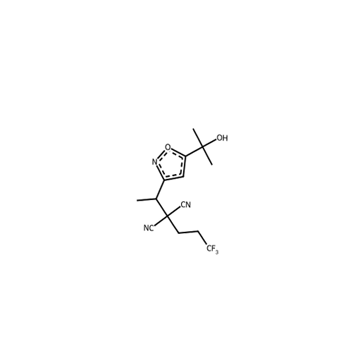 CC(c1cc(C(C)(C)O)on1)C(C#N)(C#N)CCC(F)(F)F